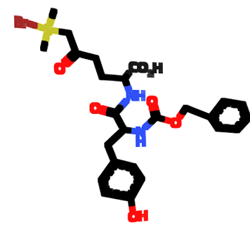 CS(C)(Br)CC(=O)CCC(NC(=O)C(Cc1ccc(O)cc1)NC(=O)OCc1ccccc1)C(=O)O